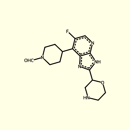 O=CN1CCC(c2c(F)cnc3[nH]c(C4CNCCO4)nc23)CC1